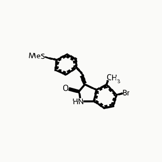 CSc1ccc(C=C2C(=O)Nc3ccc(Br)c(C)c32)cc1